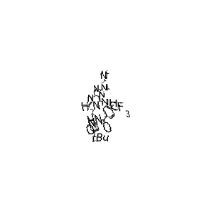 C=C/N=C1/C=NC(N(C)CCN(C)C)=N/C1=C(/N)Nc1cc(C(=O)Nc2cc(C(C)(C)C)on2)ccc1C(F)(F)F